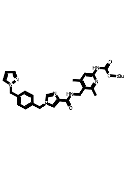 Cc1cc(NC(=O)OC(C)(C)C)nc(C)c1CNC(=O)c1cn(Cc2ccc(Cn3cccn3)cc2)cn1